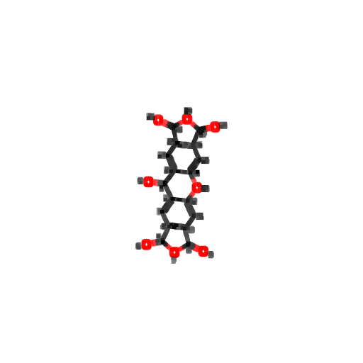 O=c1c2cc3c(=O)oc(=O)c3cc2oc2cc3c(=O)oc(=O)c3cc12